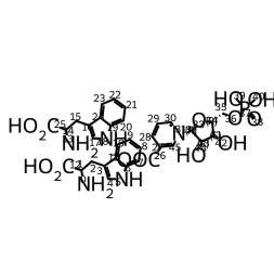 NC(Cc1c[nH]c2ccccc12)C(=O)O.NC(Cc1c[nH]c2ccccc12)C(=O)O.O=C([O-])c1ccc[n+]([C@@H]2O[C@H](COP(=O)(O)O)[C@@H](O)[C@H]2O)c1